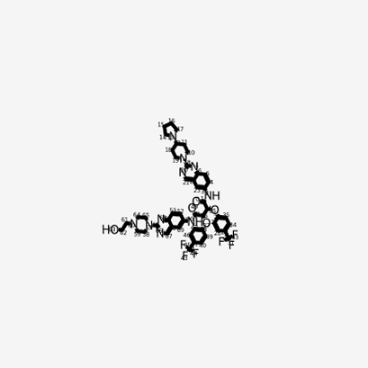 O=C(Nc1ccc2nc(N3CCC(N4CCCC4)CC3)ncc2c1)C(Oc1ccc(C(F)(F)F)cc1)C(Oc1ccc(C(F)(F)F)cc1)C(=O)Nc1ccc2nc(N3CCN(CCO)CC3)ncc2c1